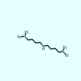 CCN(CC)CCCCNCCCCN(CC)CC